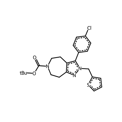 CC(C)(C)OC(=O)N1CCc2nn(Cc3cccs3)c(-c3ccc(Cl)cc3)c2CC1